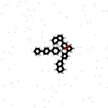 c1ccc(-c2ccc(-c3ccc(N(c4cccc(-c5cccc6ccccc56)c4)c4cc(-c5ccc6ccccc6c5)ccc4-c4ccccc4)cc3)cc2)cc1